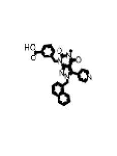 Cn1c(=O)c2c(-c3ccncc3)n(Cc3cccc4ccccc34)nc2n(Cc2cccc(C(=O)O)c2)c1=O